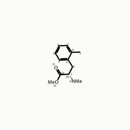 CN[C@@H](Cc1ccccc1C)C(=O)OC